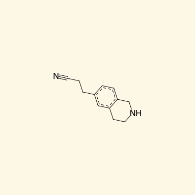 N#CCCc1ccc2c(c1)CCNC2